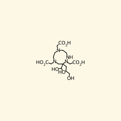 CC(O)C1(CC(O)CO)CN(CC(=O)O)CCN(CC(=O)O)CCNN1CC(=O)O